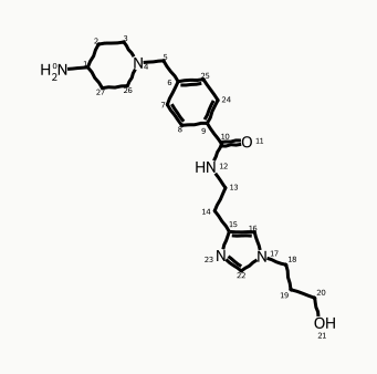 NC1CCN(Cc2ccc(C(=O)NCCc3cn(CCCO)cn3)cc2)CC1